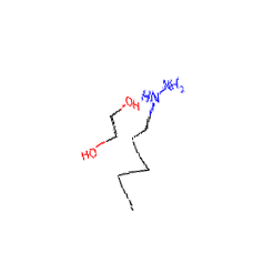 CCCCCNN.OCCO